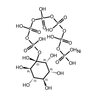 O=P(O)(O)OP(=O)(O)OP(=O)(O)OP(=O)(O)OP(=O)(O)OP(=O)(O)O[C@]1(O)[C@H](O)[C@H](O)[C@@H](O)[C@H](O)[C@H]1O.[Ni]